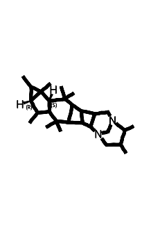 CC1CN2CN(CC3C4C(C32)C2C4C(C)(C)[C@@H]3C(C(C)[C@@H]4C(C)C43C)C2(C)C)C1C